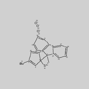 CCC(C)C1=C[C]([Ti+3])(C(C)(c2ccccc2)c2ccccc2)C=C1.[Cl-].[Cl-].[Cl-]